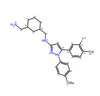 COc1ccc(-n2nc(NCC3CCCC(CN)C3)cc2-c2ccc(C#N)c(F)c2)cc1